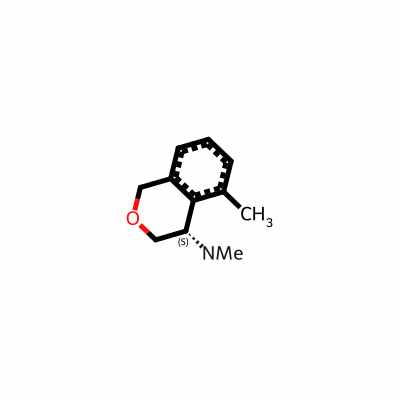 CN[C@@H]1COCc2cccc(C)c21